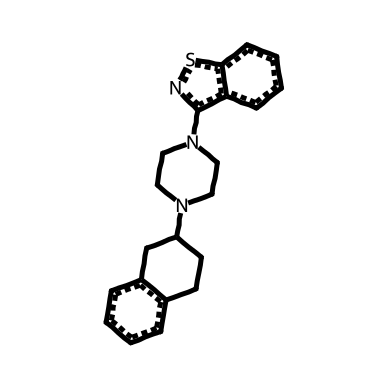 c1ccc2c(c1)CCC(N1CCN(c3nsc4ccccc34)CC1)C2